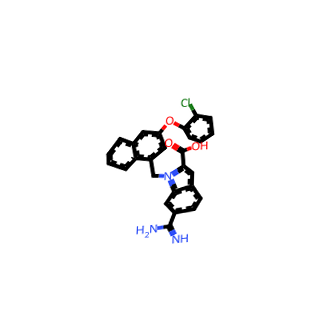 N=C(N)c1ccc2cc(C(=O)O)n(Cc3cc(Oc4ccccc4Cl)cc4ccccc34)c2c1